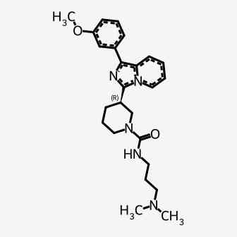 COc1cccc(-c2nc([C@@H]3CCCN(C(=O)NCCCN(C)C)C3)n3ccccc23)c1